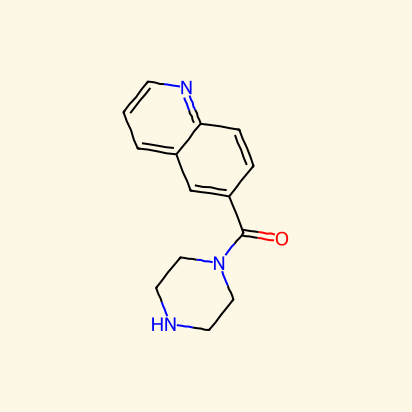 O=C(c1ccc2ncccc2c1)N1CCNCC1